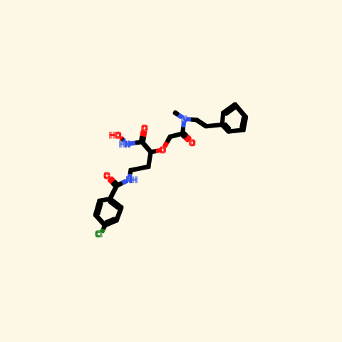 CN(CCc1ccccc1)C(=O)COC(CCNC(=O)c1ccc(Cl)cc1)C(=O)NO